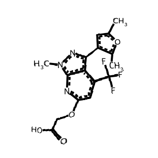 Cc1cc(-c2nn(C)c3nc(OCC(=O)O)cc(C(F)(F)F)c23)c(C)o1